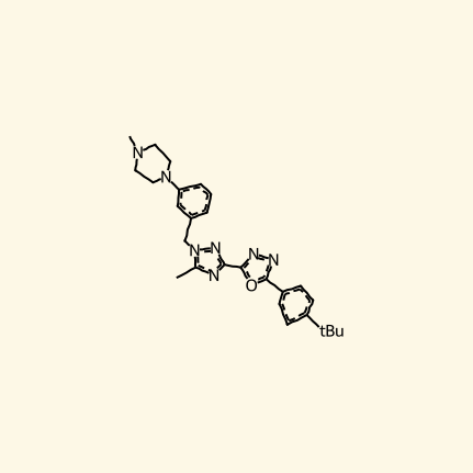 Cc1nc(-c2nnc(-c3ccc(C(C)(C)C)cc3)o2)nn1Cc1cccc(N2CCN(C)CC2)c1